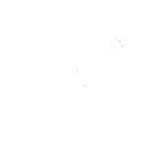 CC(C)=CCCC(C)=CCCC(C)=CCCC(C)=CCCC(C)=CCCC(C)=CCCC(C)=CCCC(C)=CCC1=C(C)C(=O)c2ccccc2C1=O